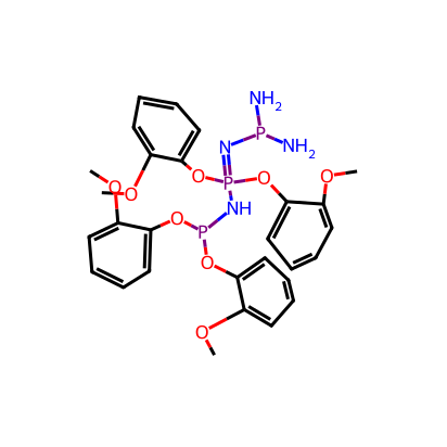 COc1ccccc1OP(NP(=NP(N)N)(Oc1ccccc1OC)Oc1ccccc1OC)Oc1ccccc1OC